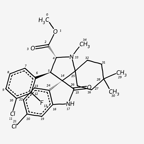 COC(=O)[C@H]1[C@H](c2cccc(Cl)c2F)[C@]2(C(=O)Nc3cc(Cl)ccc32)C2(CCC(C)(C)CC2)N1C